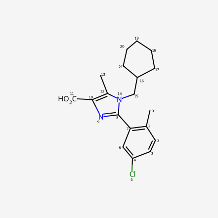 Cc1ccc(Cl)cc1-c1nc(C(=O)O)c(C)n1CC1CCCCC1